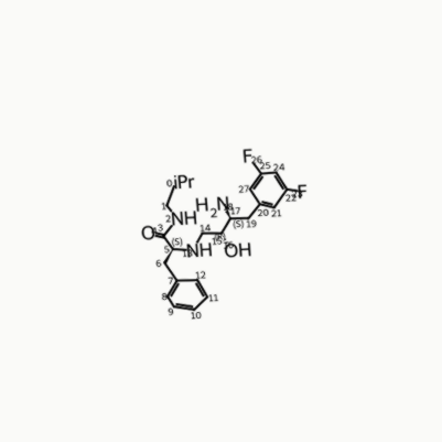 CC(C)CNC(=O)[C@H](Cc1ccccc1)NC[C@@H](O)[C@@H](N)Cc1cc(F)cc(F)c1